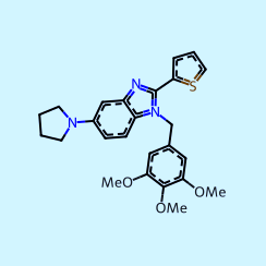 COc1cc(Cn2c(-c3cccs3)nc3cc(N4CCCC4)ccc32)cc(OC)c1OC